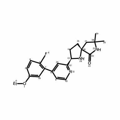 CCOc1ccc(F)c(-c2ccnc([C@H]3CC[C@]4(CC(C)(C)NC4=O)N3)c2)c1